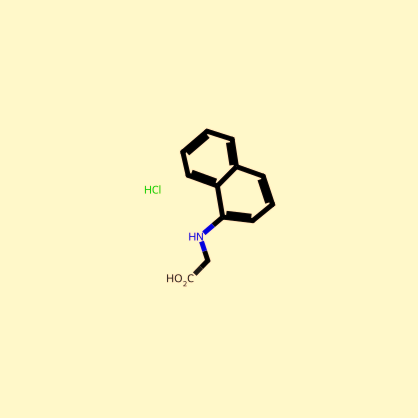 Cl.O=C(O)CNc1cccc2ccccc12